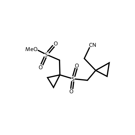 COS(=O)(=O)CC1(S(=O)(=O)CC2(CC#N)CC2)CC1